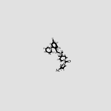 CC(=O)c1ccn(C(=O)N2CCC(C)(N(C)Cc3ccc(C)cc3N3CCCCC3)CC2)n1